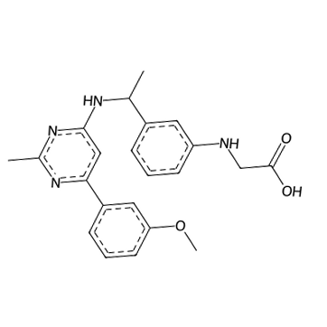 COc1cccc(-c2cc(NC(C)c3cccc(NCC(=O)O)c3)nc(C)n2)c1